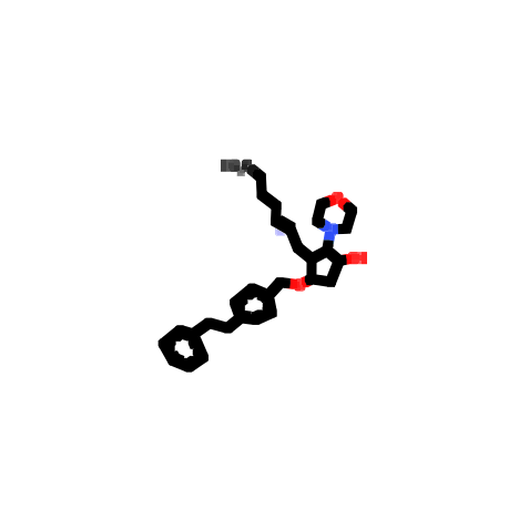 O=C(O)CCC/C=C/CC1C(OCc2ccc(CCc3ccccc3)cc2)CC(O)C1N1CCOCC1